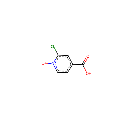 O=C(O)c1cc[n+]([O-])c(Cl)c1